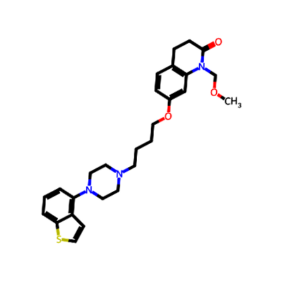 COCN1C(=O)CCc2ccc(OCCCCN3CCN(c4cccc5sccc45)CC3)cc21